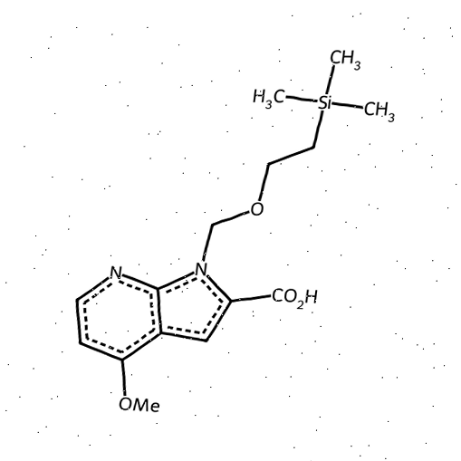 COc1ccnc2c1cc(C(=O)O)n2COCC[Si](C)(C)C